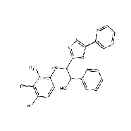 Cc1c(NC(c2nnc(-c3ccccc3)o2)C(O)c2ccccc2)ccc(C#N)c1Cl